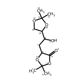 CC1(C)OC(=O)C(CC(O)C2COC(C)(C)O2)O1